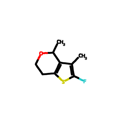 Cc1c(F)sc2c1C(C)OCC2